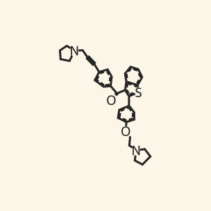 O=C(c1ccc(C#CCN2CCCC2)cc1)c1c(-c2ccc(OCCN3CCCC3)cc2)sc2ccccc12